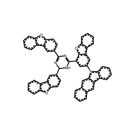 c1ccc2cc3c(cc2c1)c1ccccc1n3-c1cc(C2=NC(c3ccc4oc5ccccc5c4c3)=NC(c3ccc4oc5ccccc5c4c3)N2)c2oc3ccccc3c2c1